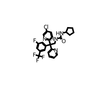 O=C(NCC(c1cc(F)cc(C(F)(F)F)c1)(c1ccccn1)c1ccc(Cl)cn1)NC1CCCC1